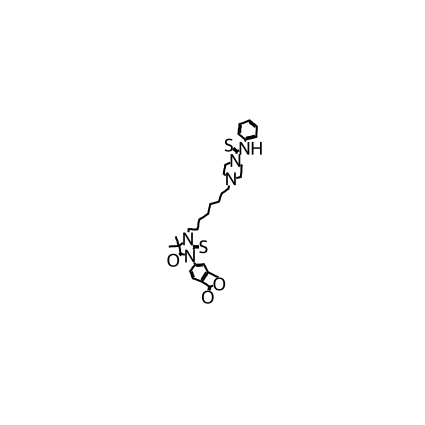 CC1(C)C(=O)N(c2ccc3c(c2)COC3=O)C(=S)N1CCCCCCCCN1CCN(C(=S)Nc2ccccc2)CC1